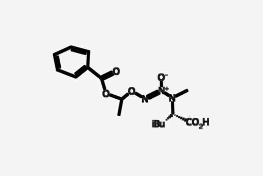 CC[C@@H](C)[C@@H](C(=O)O)N(C)[N+]([O-])=NOC(C)OC(=O)c1ccccc1